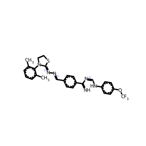 Cc1cccc(C)c1N1CCS/C1=N\N=C\c1ccc(C(=N)/N=C\Nc2ccc(OC(F)(F)F)cc2)cc1